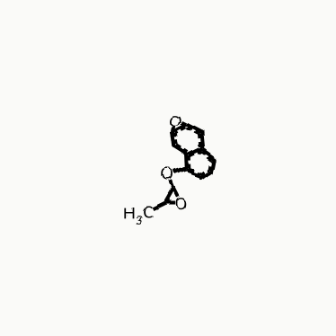 CC1OC1Oc1cccc2cc3c(cc12)O3